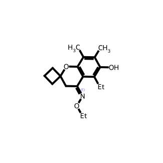 CCO/N=C1\CC2(CCC2)Oc2c(C)c(C)c(O)c(CC)c21